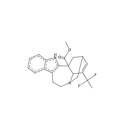 COC(=O)C12CC3C=C(C(C)(F)F)C1N(CCc1c2[nH]c2ccccc12)C3